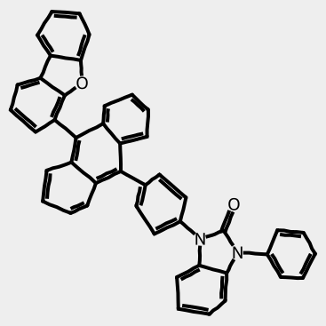 O=c1n(-c2ccccc2)c2ccccc2n1-c1ccc(-c2c3ccccc3c(-c3cccc4c3oc3ccccc34)c3ccccc23)cc1